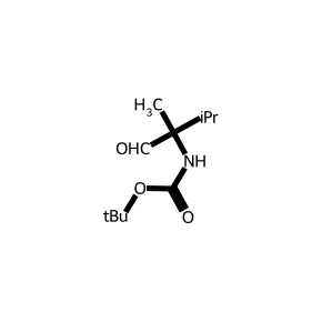 CC(C)C(C)(C=O)NC(=O)OC(C)(C)C